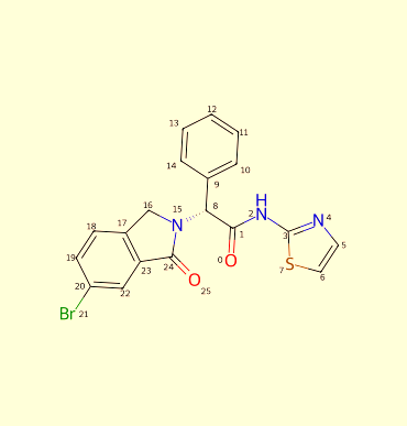 O=C(Nc1nccs1)[C@@H](c1ccccc1)N1Cc2ccc(Br)cc2C1=O